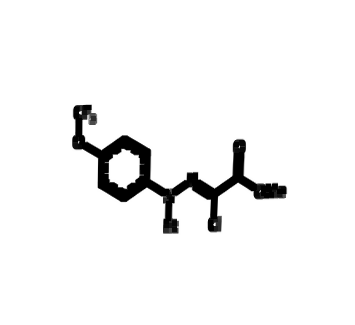 CCN(/N=C(\Cl)C(=O)OC)c1ccc(OC(F)(F)F)cc1